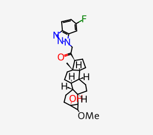 COC1C2[C@@H]3CC[C@@H]4[C@H](CC[C@]5(C)[C@@H](C(=O)Cn6nnc7ccc(F)cc76)CC[C@@H]45)[C@H]3CC[C@]12O